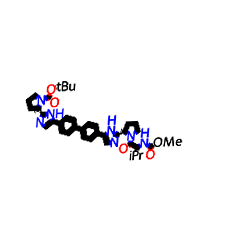 COC(=O)NC(C(=O)N1CCC[C@H]1c1ncc(-c2ccc(-c3ccc(-c4cnc([C@@H]5CCCN5C(=O)OC(C)(C)C)[nH]4)cc3)cc2)[nH]1)C(C)C